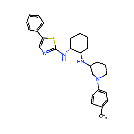 FC(F)(F)c1ccc(N2CCCC(N[C@@H]3CCCC[C@H]3Nc3ncc(-c4ccccc4)s3)C2)cc1